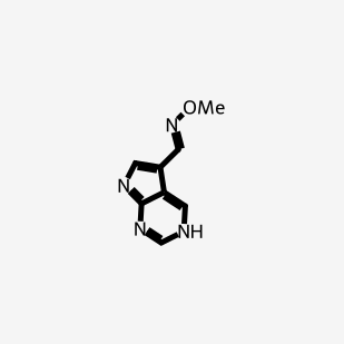 CON=Cc1cnc2nc[nH]cc1-2